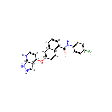 O=C(Nc1ccc(Br)cc1)c1cccc2cc(Oc3ccnc4[nH]ncc34)ccc12